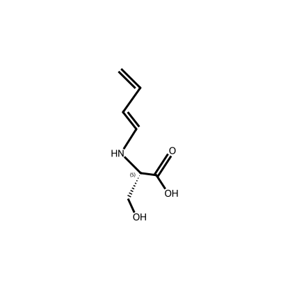 C=CC=CN[C@@H](CO)C(=O)O